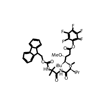 CC[C@H](C)[C@@H]([C@@H](CC(=O)Oc1c(F)c(F)c(F)c(F)c1F)OC)N(C)[C@H](C(=O)NC(=O)C(C)(C)NC(=O)OCC1c2ccccc2-c2ccccc21)C(C)C